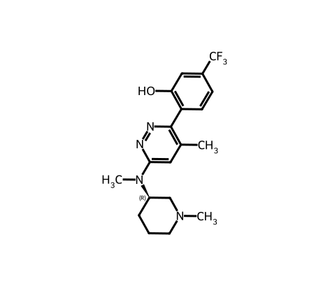 Cc1cc(N(C)[C@@H]2CCCN(C)C2)nnc1-c1ccc(C(F)(F)F)cc1O